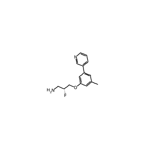 Cc1cc(OC[C@H](F)CN)cc(-c2cccnc2)c1